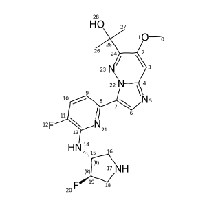 COc1cc2ncc(-c3ccc(F)c(N[C@@H]4CNC[C@H]4F)n3)n2nc1C(C)(C)O